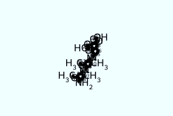 COc1cc(N=Nc2cc(C)c(N=Nc3ccc4cc(S(=O)(=O)O)cc(S(=O)(=O)O)c4c3)cc2OC)c(C)cc1N